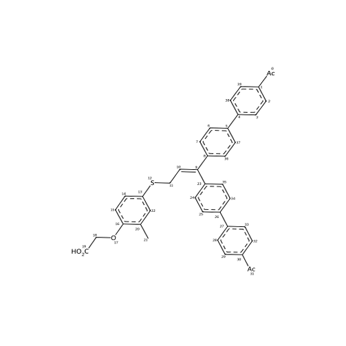 CC(=O)c1ccc(-c2ccc(C(=CCSc3ccc(OCC(=O)O)c(C)c3)c3ccc(-c4ccc(C(C)=O)cc4)cc3)cc2)cc1